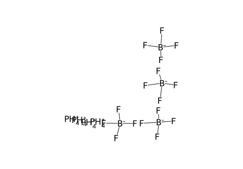 F[B-](F)(F)F.F[B-](F)(F)F.F[B-](F)(F)F.F[B-](F)(F)F.[PH4+].[PH4+].[PH4+].[PH4+]